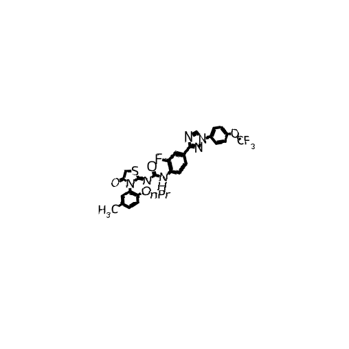 CCCOc1ccc(C)cc1N1C(=O)CSC1=NC(=O)Nc1ccc(-c2ncn(-c3ccc(OC(F)(F)F)cc3)n2)cc1F